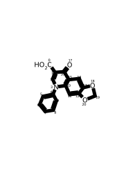 O=C(O)c1cn(-c2ccccc2)c2cc3c(cc2c1=O)OCO3